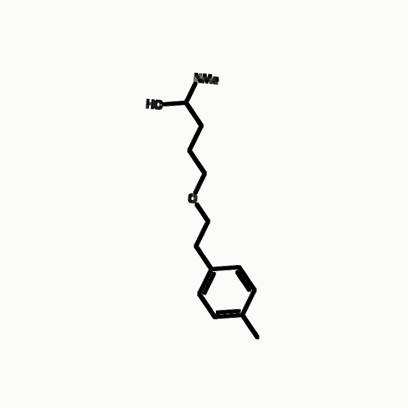 CNC(O)CCCOCCc1ccc(C)cc1